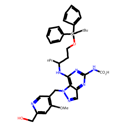 CCCC(CCO[Si](c1ccccc1)(c1ccccc1)C(C)(C)C)Nc1nc(NC(=O)O)nc2cnn(Cc3cnc(CO)cc3OC)c12